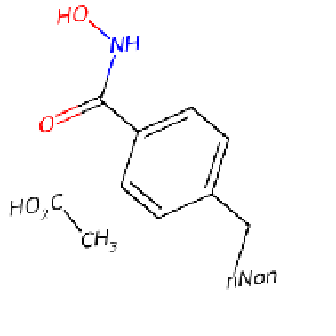 CC(=O)O.CCCCCCCCCCc1ccc(C(=O)NO)cc1